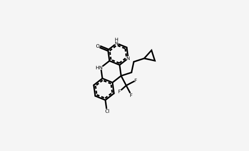 O=c1[nH]cnc2c1Nc1ccc(Cl)cc1C2(CCC1CC1)C(F)(F)F